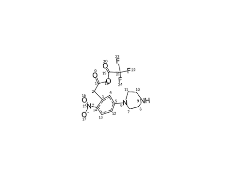 O=C(Cc1cc(N2CCNCC2)ccc1[N+](=O)[O-])OC(=O)C(F)(F)F